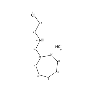 Cl.ClCCNCC1CCCCCC1